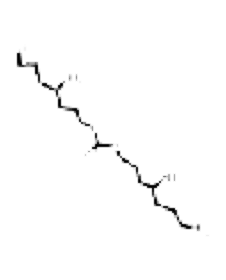 NCCCC(N)CCCOC(=O)OCCCC(N)CCCN